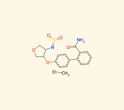 CCC.NC(=O)c1ccccc1-c1ccc(OC2COCC2N=S(=O)=O)cc1